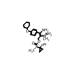 CCCC1(N(C)C(=O)OC/C(=C(/N)c2ccc(OC3CCCCC3)cc2)N(C)N)CC1